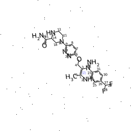 C/C(N)=C(\COc1ccc(N2CCNC(C(N)=O)C2)nn1)N(N)c1ccc(C(F)F)cc1